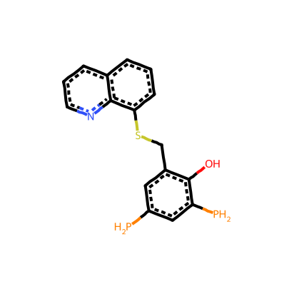 Oc1c(P)cc(P)cc1CSc1cccc2cccnc12